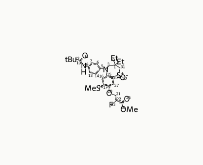 CCC1(CC)CN(c2ccc(NC(=O)C(C)(C)C)cc2)c2cc(SC)c(O/C=C(\F)C(=O)OC)cc2[S+]([O-])C1